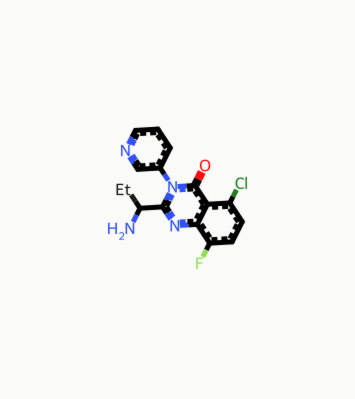 CCC(N)c1nc2c(F)ccc(Cl)c2c(=O)n1-c1cccnc1